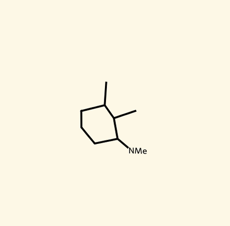 CNC1CCCC(C)C1C